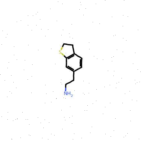 NCCc1ccc2c(c1)SCC2